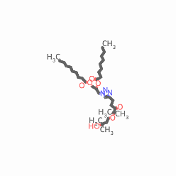 CCCCCCCCCC(=O)OCC(Cn1cc(CCC(=O)C(C)(C)OCCC(C)(C)O)nn1)OC(=O)CCCCCCCCC